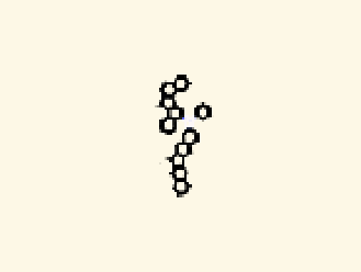 CC1(C)c2cc3ccccc3cc2-c2cc3ccc(N(c4ccccc4)c4cc5c(c6ccccc46)C(C)(C)c4ccc6ccccc6c4-5)cc3cc21